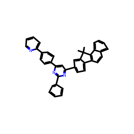 CC1(C)c2cc(-c3cc(-c4ccc(-c5ccccn5)cc4)nc(-c4ccccc4)n3)ccc2-c2ccc3ccccc3c21